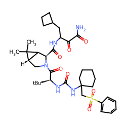 CC(C)(C)[C@H](NC(=O)NC1(CS(=O)(=O)c2ccccc2)CCCCC1)C(=O)N1C[C@H]2C([C@H]1C(=O)NC(CC1CCC1)C(=O)C(N)=O)C2(C)C